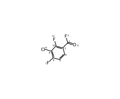 O=C(F)c1ccc(F)c(Cl)c1F